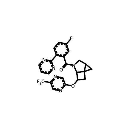 O=C(c1cc(F)ccc1-c1ncccn1)N1CC2CC23CC(Oc2cnc(C(F)(F)F)cn2)C13